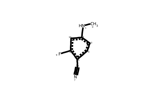 CNc1ccc(C#N)c(F)c1